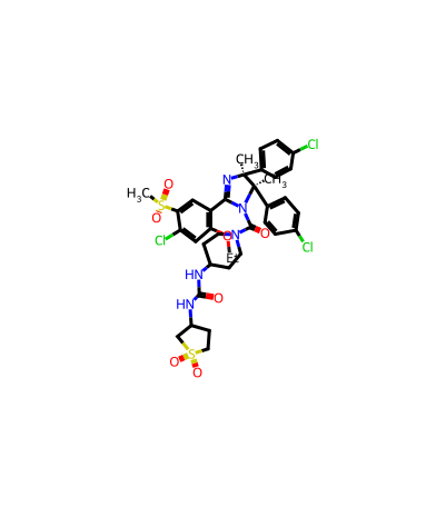 CCOc1cc(Cl)c(S(C)(=O)=O)cc1C1=N[C@@](C)(c2ccc(Cl)cc2)[C@@](C)(c2ccc(Cl)cc2)N1C(=O)N1CCC(NC(=O)NC2CCS(=O)(=O)C2)CC1